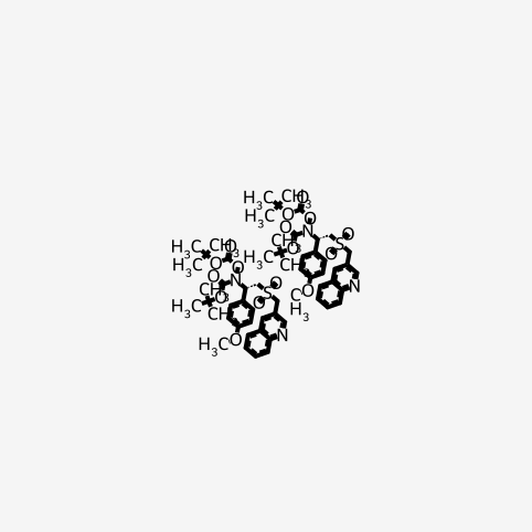 COc1ccc([C@@H](CS(=O)(=O)Cc2cnc3ccccc3c2)N(OC(=O)OC(C)(C)C)C(=O)OC(C)(C)C)cc1.COc1ccc([C@@H](CS(=O)(=O)Cc2cnc3ccccc3c2)N(OC(=O)OC(C)(C)C)C(=O)OC(C)(C)C)cc1